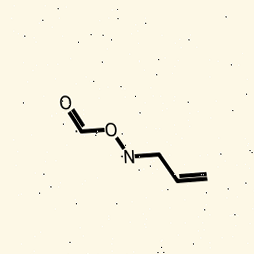 C=CC[N]O[C]=O